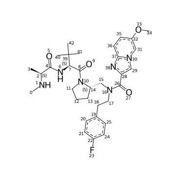 CN[C@@H](C)C(=O)N[C@H](C(=O)N1CCC[C@H]1CN(CCc1ccc(F)cc1)C(=O)c1cn2cc(OC)ccc2n1)C(C)(C)C